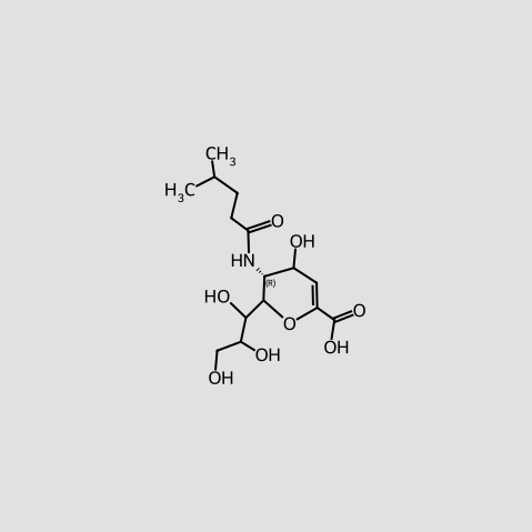 CC(C)CCC(=O)N[C@@H]1C(O)C=C(C(=O)O)OC1C(O)C(O)CO